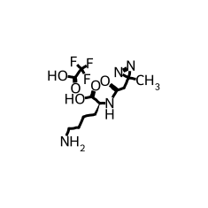 CC1(CC(=O)N[C@@H](CCCCN)C(=O)O)N=N1.O=C(O)C(F)(F)F